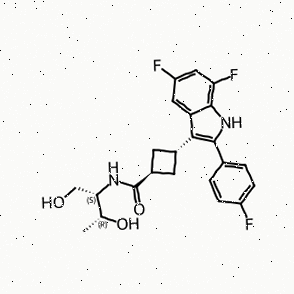 C[C@@H](O)[C@H](CO)NC(=O)[C@H]1C[C@H](c2c(-c3ccc(F)cc3)[nH]c3c(F)cc(F)cc32)C1